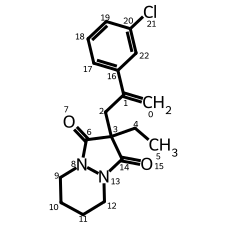 C=C(CC1(CC)C(=O)N2CCCCN2C1=O)c1cccc(Cl)c1